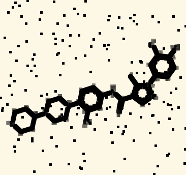 Cc1c(C(=O)Nc2ccc(N3CCN(C4CCOCC4)CC3)c(C#N)c2)cnn1-c1ccc(Cl)c(Cl)c1